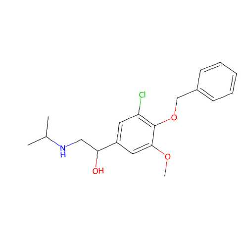 COc1cc(C(O)CNC(C)C)cc(Cl)c1OCc1ccccc1